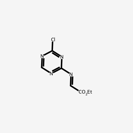 CCOC(=O)C=Nc1ncnc(Cl)n1